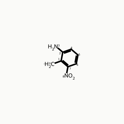 [CH2]c1c(N)cccc1[N+](=O)[O-]